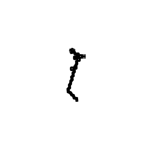 CCCCCC/C=C\CCCCCCCCCC(=O)OCCCOP(=O)(O)OCC[N+](C)(C)C